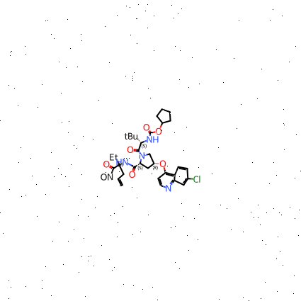 C=CC[C@@](CC)(NC(=O)[C@@H]1C[C@@H](Oc2ccnc3cc(Cl)ccc23)CN1C(=O)[C@@H](NC(=O)OC1CCCC1)C(C)(C)C)C(=O)N=O